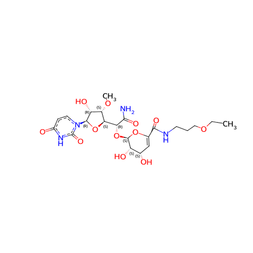 CCOCCCNC(=O)C1=C[C@H](O)[C@H](O)[C@@H](O[C@@H](C(N)=O)[C@H]2O[C@@H](n3ccc(=O)[nH]c3=O)[C@H](O)[C@@H]2OC)O1